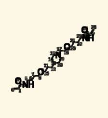 C=CC(=O)NCCCCOCCCC1CCN(CCOCCCCNC(=O)C=C)CC1